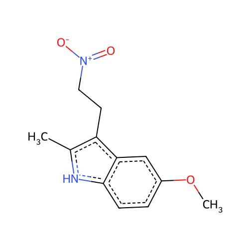 COc1ccc2[nH]c(C)c(CC[N+](=O)[O-])c2c1